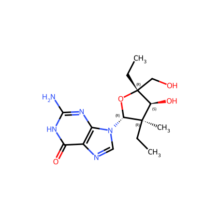 CC[C@]1(CO)O[C@@H](n2cnc3c(=O)[nH]c(N)nc32)[C@](C)(CC)[C@@H]1O